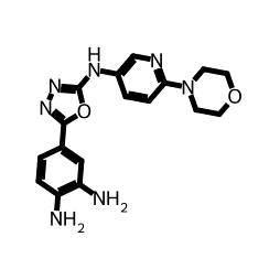 Nc1ccc(-c2nnc(Nc3ccc(N4CCOCC4)nc3)o2)cc1N